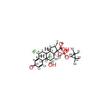 C[C@@H]1C[C@H]2[C@@H]3C[C@H](F)C4=CC(=O)C=C[C@]4(C)[C@@]3(F)[C@@H](O)C[C@]2(C)[C@@]1(OC(=O)OC1C(C)(C)C1(C)C)C(=O)O